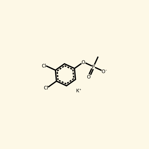 CP(=O)([O-])Oc1ccc(Cl)c(Cl)c1.[K+]